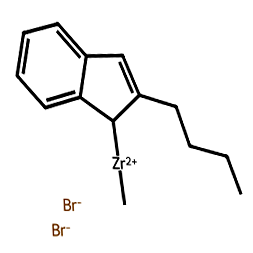 CCCCC1=Cc2ccccc2[CH]1[Zr+2][CH3].[Br-].[Br-]